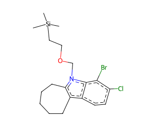 C[Si](C)(C)CCOCn1c2c(c3ccc(Cl)c(Br)c31)CCCCC2